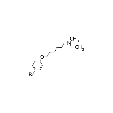 CCN(C)CCCCCCOc1ccc(Br)cc1